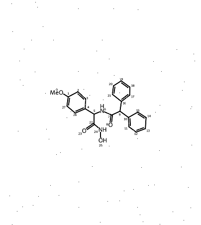 COc1ccc(C(NC(=O)C(c2ccccc2)c2ccccc2)C(=O)NO)cc1